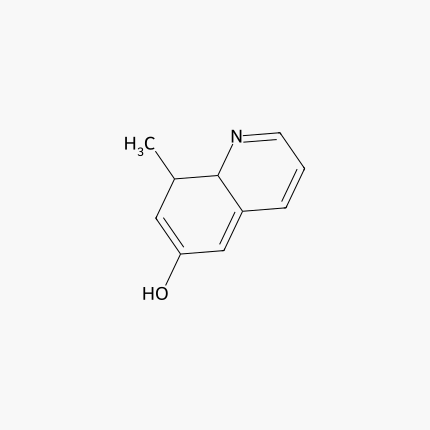 CC1C=C(O)C=C2C=CC=NC21